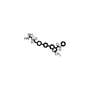 Cc1cc(C(=O)Nc2ccccc2)c2ccc(-c3ccc(C4CCC(CC(=O)NCC(=N)N)CC4)cc3)cc2n1